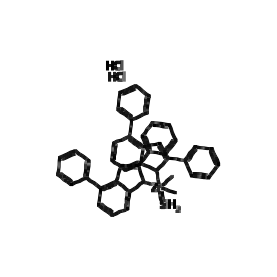 Cl.Cl.[CH3][Zr]([CH3])(=[SiH2])([CH]1C(c2ccccc2)=Cc2c(-c3ccccc3)cccc21)[CH]1C(c2ccccc2)=Cc2c(-c3ccccc3)cccc21